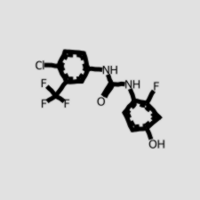 O=C(Nc1ccc(Cl)c(C(F)(F)F)c1)Nc1ccc(O)cc1F